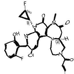 C=CC(=O)N1CCN2c3c(c(=O)n([C@@H]4C[C@@H]4F)c4nc(-c5c(O)cccc5F)c(Cl)cc34)N(C)C(=O)C[C@H]2C1